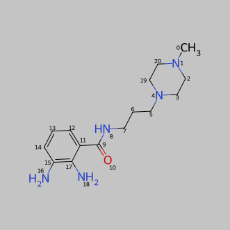 CN1CCN(CCCNC(=O)c2cccc(N)c2N)CC1